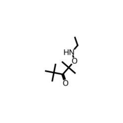 CCNOC(C)(C)C(=O)C(C)(C)C